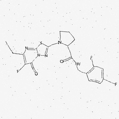 CCc1nc2sc(N3CCCC3C(=O)NCc3ccc(F)cc3F)nn2c(=O)c1F